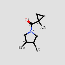 CCC1CN(C(=O)C2(C#N)CC2)CC1CC